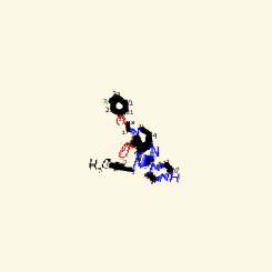 CC#CCn1c(N2CCNCC2)nc2ccn(CCOc3ccccc3)c(=O)c21